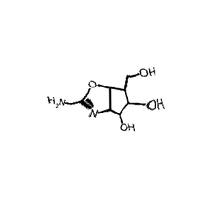 NC1=NC2C(O)C(O)C(CO)C2O1